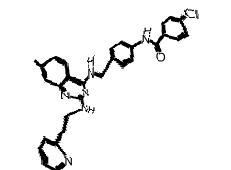 Cc1ccc2c(NCc3ccc(NC(=O)c4ccc(Cl)cc4)cc3)nc(NCCc3ccccn3)nc2c1